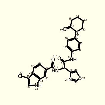 O=C(NC(C(=O)Nc1ccc(N2CCCCC2=O)cc1)c1cscn1)c1ccc2c(Cl)c[nH]c2c1